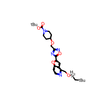 CC(C)(C)C[SiH2]OCc1nccc2oc(-c3nc(COC4CCN(C(=O)OC(C)(C)C)CC4)no3)cc12